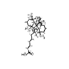 CC1(C)CCCC(C)(C)[N+]1(C)C(CCCCCCCC(=O)O)(C(=O)O)[N+]1(C)C(C)(C)CCCC1(C)C